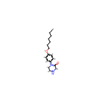 CCCCCCCOc1ccc(N2CCNCC2=O)cc1